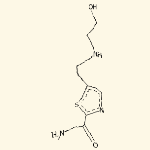 NC(=O)c1ncc(CNCCO)s1